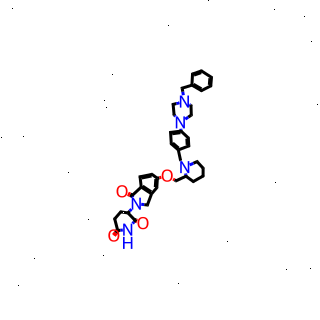 O=C1CCC(N2Cc3cc(OCC4CCCCN4Cc4ccc(N5CCN(Cc6ccccc6)CC5)cc4)ccc3C2=O)C(=O)N1